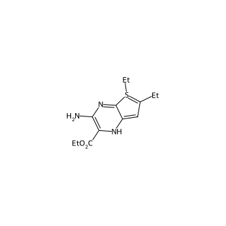 CCOC(=O)C1=C(N)N=C2C(=CC(CC)=S2CC)N1